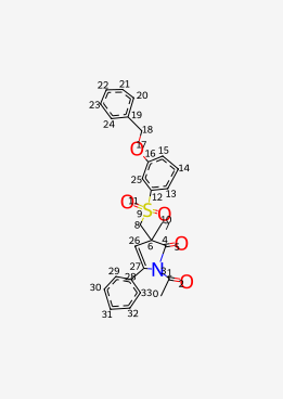 CC(=O)N1C(=O)C(C)(CS(=O)(=O)c2cccc(OCc3ccccc3)c2)C=C1c1ccccc1